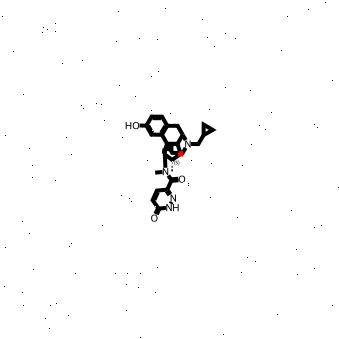 C[C@H]1CC23CCC(N(C)C(=O)c4ccc(=O)[nH]n4)C1C21CCN(CC2CC2)C3Cc2ccc(O)cc21